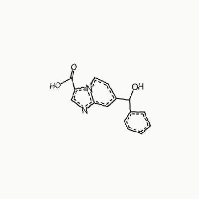 O=C(O)c1cnc2cc(C(O)c3ccccc3)ccn12